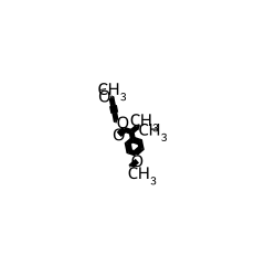 CCOc1ccc(C(C(=O)OCC#CCOC)C(C)C)cc1